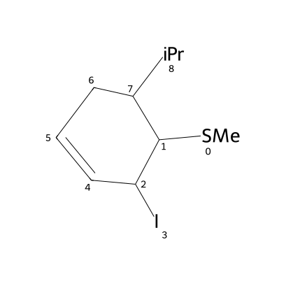 CSC1C(I)C=CCC1C(C)C